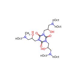 CCCCCCCCN(C)CC(O)Cn1c(=O)n(CC(O)CN(CCCCCCCC)CCCCCCCC)c(=O)n(CC(O)CN(CCCCCCCC)CCCCCCCC)c1=O